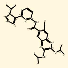 CC(C)Nc1nc2cc(C(=O)Nc3cccc(-c4nnnn4C(C)C)n3)c(F)cc2nc1OC(C)C